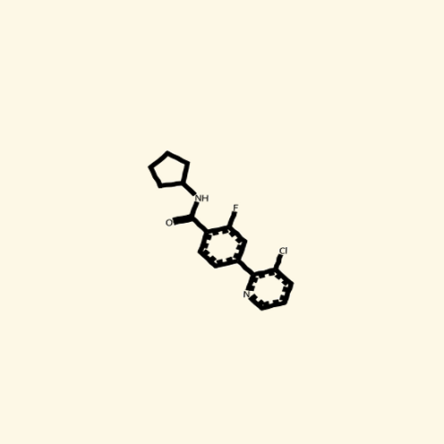 O=C(NC1CCCC1)c1ccc(-c2ncccc2Cl)cc1F